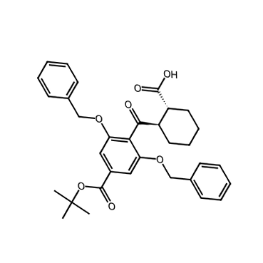 CC(C)(C)OC(=O)c1cc(OCc2ccccc2)c(C(=O)[C@@H]2CCCC[C@H]2C(=O)O)c(OCc2ccccc2)c1